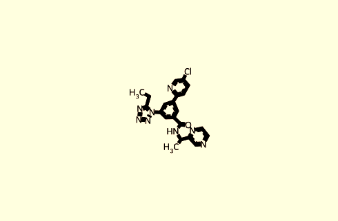 CCc1nnnn1-c1cc(C(=O)NC(C)c2cnccn2)cc(-c2ccc(Cl)cn2)c1